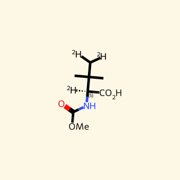 [2H]C([2H])C(C)(C)[C@]([2H])(NC(=O)OC)C(=O)O